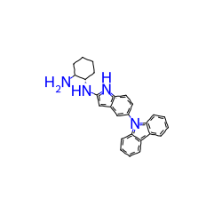 NC1CCCC[C@@H]1Nc1cc2cc(-n3c4ccccc4c4ccccc43)ccc2[nH]1